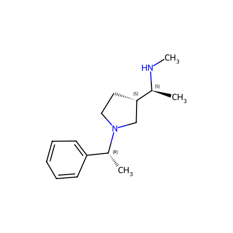 CN[C@@H](C)[C@H]1CCN([C@H](C)c2ccccc2)C1